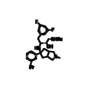 CC(=O)NCC(O)C(Cc1cc(F)cc(F)c1)NC1(c2cccc(C(C)C)c2)CC2CN(C)CC2C1